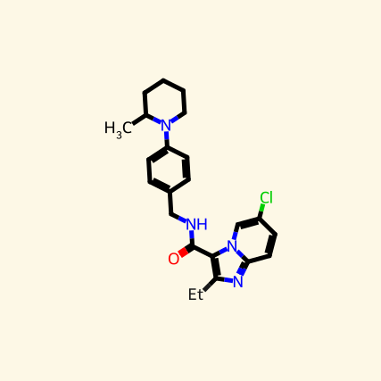 CCc1nc2ccc(Cl)cn2c1C(=O)NCc1ccc(N2CCCCC2C)cc1